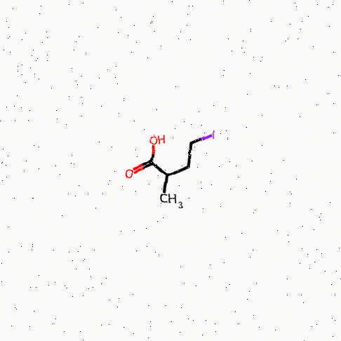 CC(CCI)C(=O)O